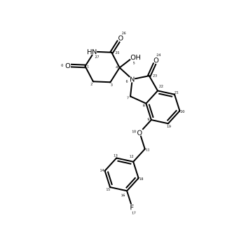 O=C1CCC(O)(N2Cc3c(OCc4cccc(F)c4)cccc3C2=O)C(=O)N1